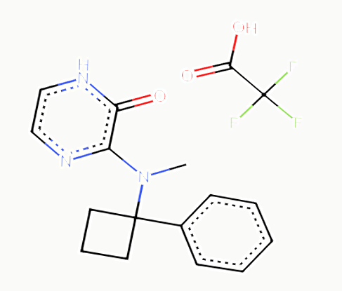 CN(c1ncc[nH]c1=O)C1(c2ccccc2)CCC1.O=C(O)C(F)(F)F